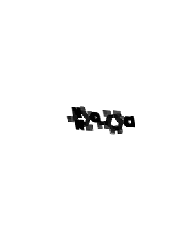 Clc1ccc(COc2cncnc2)cc1